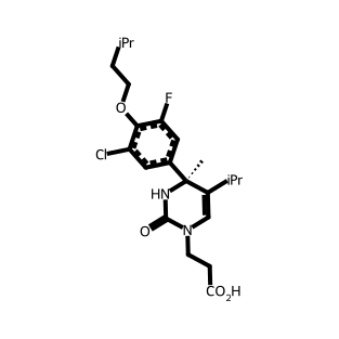 CC(C)CCOc1c(F)cc([C@]2(C)NC(=O)N(CCC(=O)O)C=C2C(C)C)cc1Cl